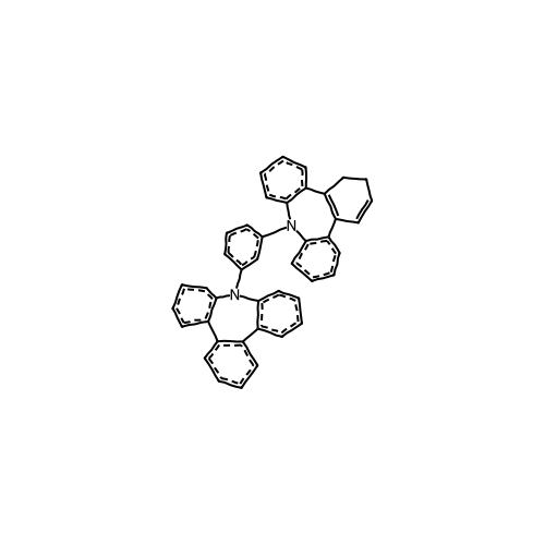 C1=CC2=C(CC1)c1ccccc1N(c1cccc(N3c4ccccc4-c4ccccc4-c4ccccc43)c1)c1ccccc12